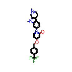 CN1CCc2c(n(C)c3cc(-n4ccc(OCc5ccc(C(F)(F)F)cc5)cc4=O)ccc23)C1